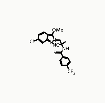 COc1c2ccc(Cl)cc2nn1CC(C)(C#N)NC(=S)c1ccc(C(F)(F)F)cc1